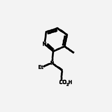 CCN(CC(=O)O)c1ncccc1C